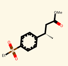 CCS(=O)(=O)c1ccc([C@@H](C)CC(=O)OC)cc1